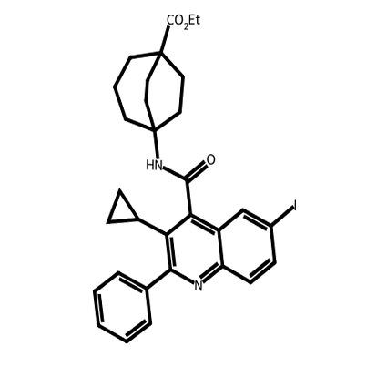 CCOC(=O)C12CCCC(NC(=O)c3c(C4CC4)c(-c4ccccc4)nc4ccc(I)cc34)(CC1)CC2